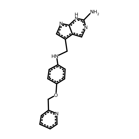 Nc1ncc2c(CNc3ccc(OCc4ccccn4)cc3)cnc-2[nH]1